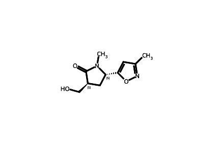 Cc1cc([C@@H]2C[C@@H](CO)C(=O)N2C)on1